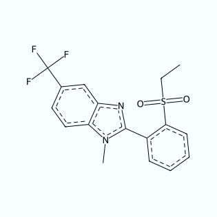 CCS(=O)(=O)c1ccccc1-c1nc2cc(C(F)(F)F)ccc2n1C